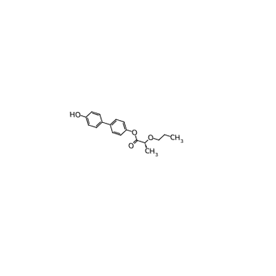 CCCO[C@@H](C)C(=O)Oc1ccc(-c2ccc(O)cc2)cc1